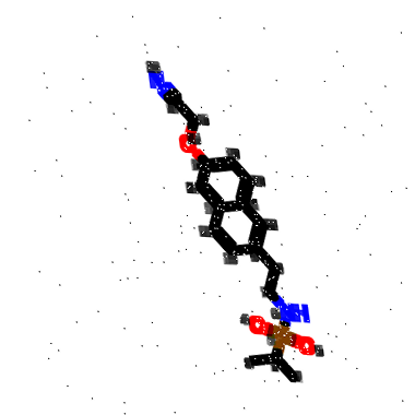 CC(C)S(=O)(=O)NCCc1ccc2cc(OCC#N)ccc2c1